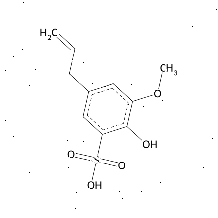 C=CCc1cc(OC)c(O)c(S(=O)(=O)O)c1